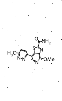 COc1ncc(-c2ccc(C)nn2)c2sc(C(N)=O)nc12